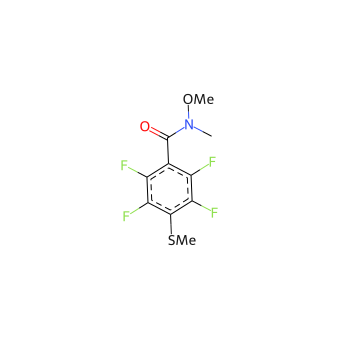 CON(C)C(=O)c1c(F)c(F)c(SC)c(F)c1F